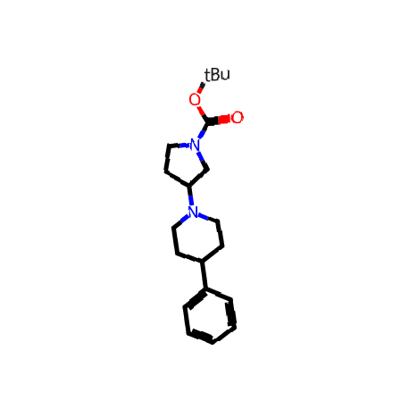 CC(C)(C)OC(=O)N1CCC(N2CCC(c3ccccc3)CC2)C1